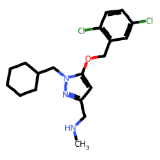 CNCc1cc(OCc2cc(Cl)ccc2Cl)n(CC2CCCCC2)n1